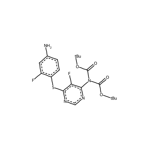 CC(C)(C)OC(=O)N(C(=O)OC(C)(C)C)c1ncnc(Sc2ccc(N)cc2F)c1F